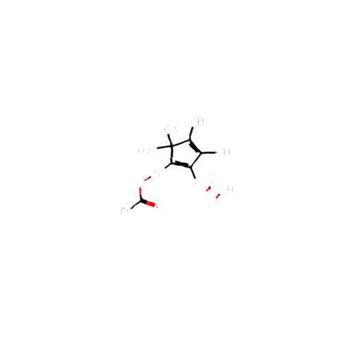 CCC(=O)[O][Ti+2][C]1=C(C)C(C)=C(C)C1(C)C.C[O-].C[O-]